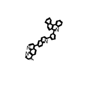 C[C@H]1CC=Nc2c1ccc1c(-c3ccc4nc(C5=CC=CC(c6nc7ccccc7c7c6ccc6ccccc67)C5)ccc4c3)ccnc21